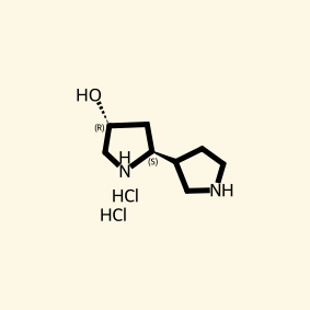 Cl.Cl.O[C@H]1CN[C@H](C2CCNC2)C1